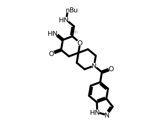 CCCCN/C=C1/OC2(CCN(C(=O)c3ccc4[nH]ncc4c3)CC2)CC(=O)C1=N